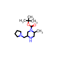 CC1CNC(CN2CCCC2)CN1C(=O)OC(C)(C)C